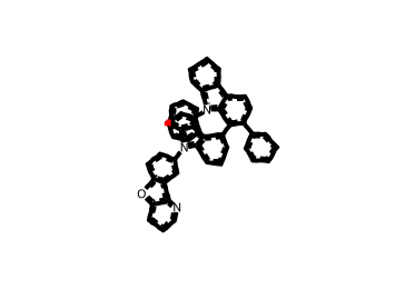 c1ccc(-c2ccc3c4ccccc4n(-c4ccccc4)c3c2-c2cccc3c2c2ccccc2n3-c2ccc3oc4cccnc4c3c2)cc1